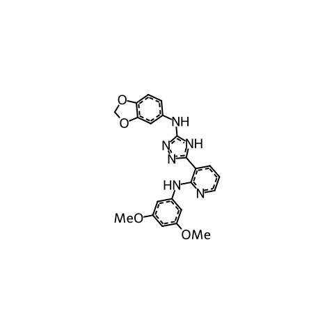 COc1cc(Nc2ncccc2-c2nnc(Nc3ccc4c(c3)OCO4)[nH]2)cc(OC)c1